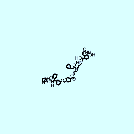 O=C(NC(c1ccccc1)c1cccc(OCc2ccc(C(=O)OCCCN(CCCNC[C@H](O)c3ccc(O)c4[nH]c(=O)ccc34)C(=O)Cc3ccccc3)cc2)c1)O[C@H]1CN2CCC1CC2